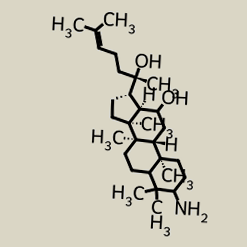 CC(C)=CCC[C@](C)(O)[C@H]1CC[C@@]2(C)[C@@H]1C(O)C[C@@H]1[C@@]3(C)CCC(N)C(C)(C)C3CC[C@]12C